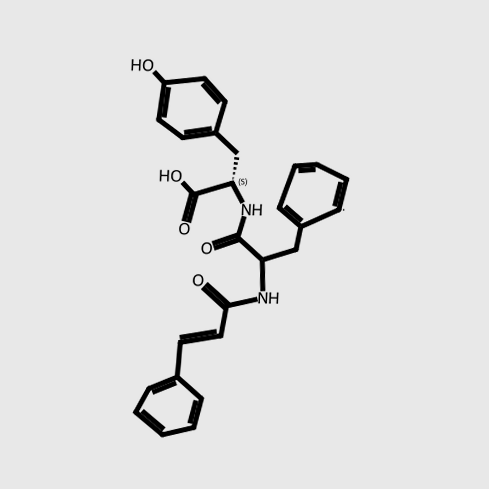 O=C(C=Cc1ccccc1)NC(Cc1[c]cccc1)C(=O)N[C@@H](Cc1ccc(O)cc1)C(=O)O